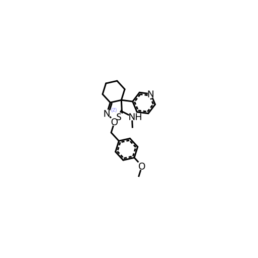 CNC(=S)C1(c2cccnc2)CCCC/C1=N/OCc1ccc(OC)cc1